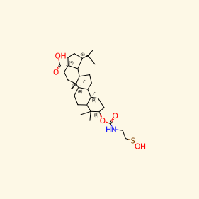 CC(C)[C@@H]1CC[C@]2(C(=O)O)CC[C@]3(C)C(CCC4[C@@]5(C)CC[C@@H](OC(=O)NCCSO)C(C)(C)C5CC[C@]43C)C12